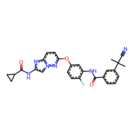 CC(C)(C#N)c1cccc(C(=O)Nc2cc(Oc3ccc4nc(NC(=O)C5CC5)cn4n3)ccc2F)c1